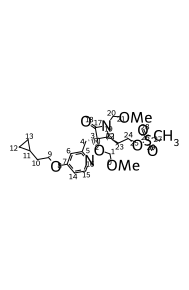 COCO[C@@]1(Cc2cc(OCCC3CC3)ccn2)C(=O)N(COC)[C@H]1CCOS(C)(=O)=O